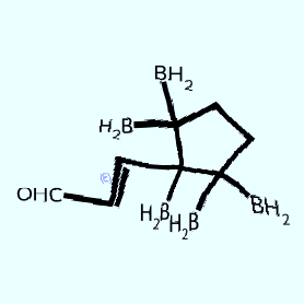 BC1(B)CCC(B)(B)C1(B)/C=C/C=O